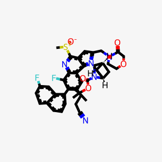 C[S+]([O-])c1nc2c(F)c(-c3cccc4ccc(F)cc34)c(CCC#N)cc2c2c1cc(CN1CCOCC1=O)n2[C@H]1[C@@H]2C[C@H]1N(C(=O)OC(C)(C)C)C2